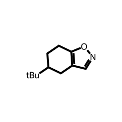 CC(C)(C)C1CCc2oncc2C1